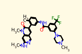 CNc1cc2c(cn1)cc(-c1cc(NC(=O)c3cc(N4CCN(C)CC4)cc(C(F)(F)F)c3)ccc1C)c(=O)n2C